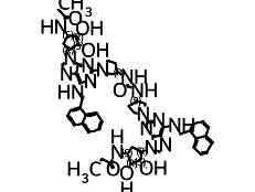 CCC(=O)N[C@H]1C[C@@H](n2cnc3c(NCc4cccc5ccccc45)nc(N4CC[C@@H](NC(=O)N[C@H]5CCN(c6nc(NCc7cccc8ccccc78)c7ncn([C@@H]8C[C@H](NC(=O)CC)[C@@H](O)[C@H]8O)c7n6)C5)C4)nc32)[C@H](O)[C@@H]1O